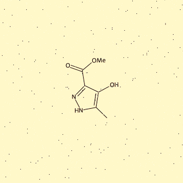 COC(=O)c1n[nH]c(C)c1O